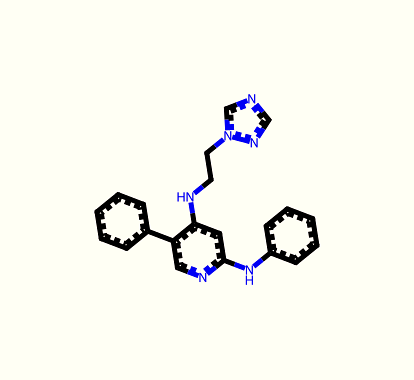 c1ccc(Nc2cc(NCCn3cncn3)c(-c3ccccc3)cn2)cc1